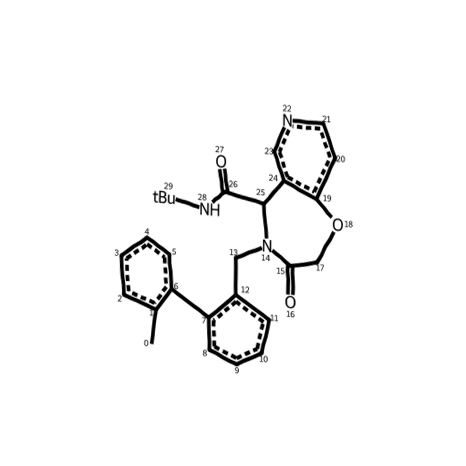 Cc1ccccc1-c1ccccc1CN1C(=O)COc2ccncc2C1C(=O)NC(C)(C)C